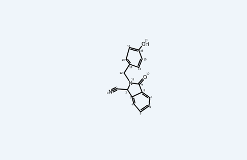 N#CC1c2ccccc2C(=O)N1Cc1ccc(O)cc1